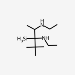 CCNC(C)C([SiH3])(NCC)C(C)(C)C